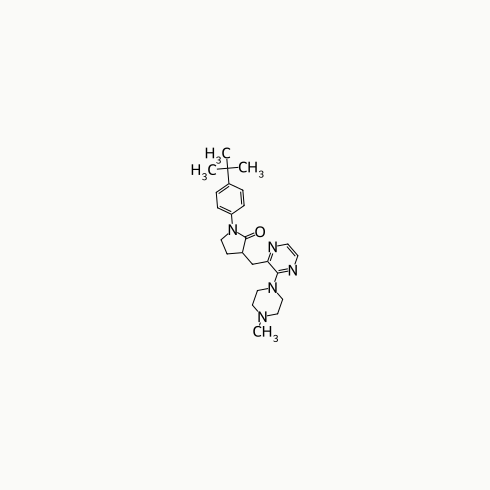 CN1CCN(c2nccnc2CC2CCN(c3ccc(C(C)(C)C)cc3)C2=O)CC1